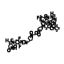 CN(c1cc(F)c(N2CCN(CC3CCN(C(=O)COC(=O)N4CCC(c5cnc(-c6c(-c7nn(C(C)(C)C)c8ncnc(N)c78)noc6C6CC6(F)F)nc5)CC4)CC3)CC2)c(F)c1)C1CCC(=O)NC1=O